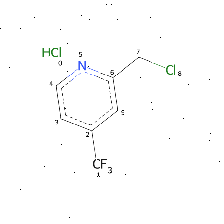 Cl.FC(F)(F)c1ccnc(CCl)c1